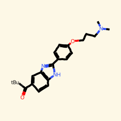 CN(C)CCCOc1ccc(-c2nc3cc(C(=O)C(C)(C)C)ccc3[nH]2)cc1